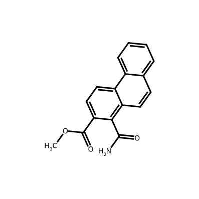 COC(=O)c1ccc2c(ccc3ccccc32)c1C(N)=O